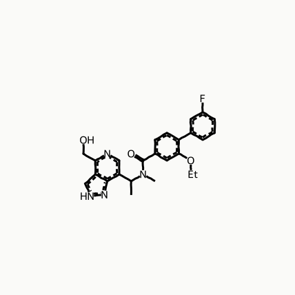 CCOc1cc(C(=O)N(C)C(C)c2cnc(CO)c3c[nH]nc23)ccc1-c1cccc(F)c1